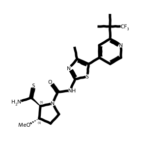 CO[C@H]1CCN(C(=O)Nc2nc(C)c(-c3ccnc(C(C)(C)C(F)(F)F)c3)s2)[C@@H]1C(N)=S